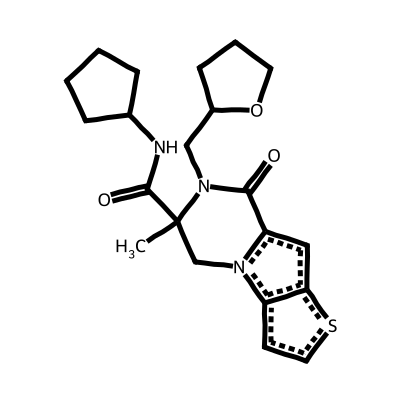 CC1(C(=O)NC2CCCC2)Cn2c(cc3sccc32)C(=O)N1CC1CCCO1